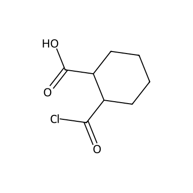 O=C(O)C1CCCCC1C(=O)Cl